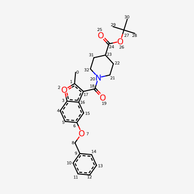 Cc1oc2ccc(OCc3ccccc3)cc2c1C(=O)N1CCC(C(=O)OC(C)(C)C)CC1